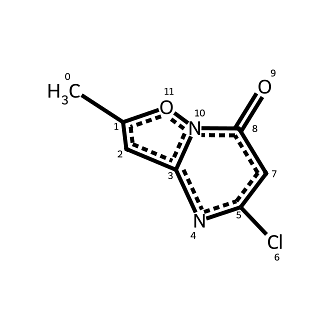 Cc1cc2nc(Cl)cc(=O)n2o1